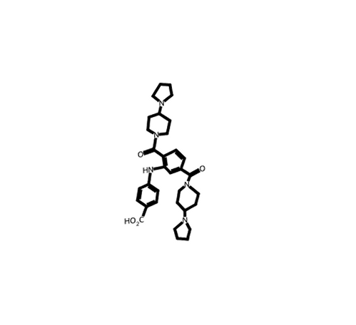 O=C(O)c1ccc(Nc2cc(C(=O)N3CCC(N4CCCC4)CC3)ccc2C(=O)N2CCC(N3CCCC3)CC2)cc1